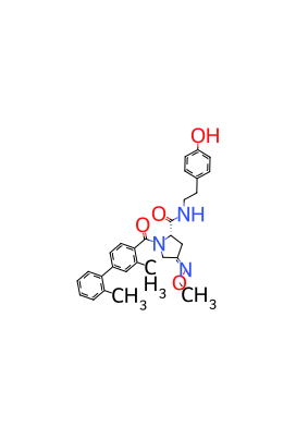 CON=C1C[C@@H](C(=O)NCCc2ccc(O)cc2)N(C(=O)c2ccc(-c3ccccc3C)cc2C)C1